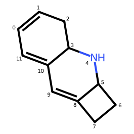 C1=CCC2NC3CCC3=CC2=C1